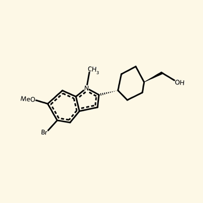 COc1cc2c(cc1Br)cc([C@H]1CC[C@H](CO)CC1)n2C